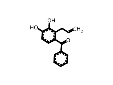 C=CCc1c(C(=O)c2ccccc2)ccc(O)c1O